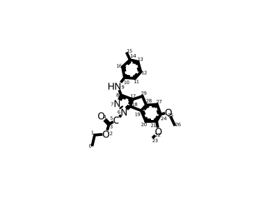 CCOC(=O)Cn1nc(Nc2cccc(C)c2)c2c1-c1cc(OC)c(OC)cc1C2